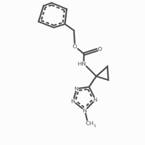 Cn1nnc(C2(NC(=O)OCc3ccccc3)CC2)n1